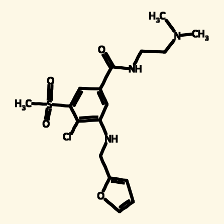 CN(C)CCNC(=O)c1cc(NCc2ccco2)c(Cl)c(S(C)(=O)=O)c1